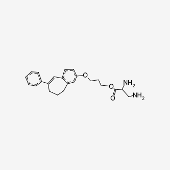 NCC(N)C(=O)OCCCOc1ccc2c(c1)CCCC(c1ccccc1)=C2